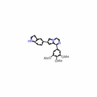 COc1cc(-c2nccn3cc(-c4ccc5[nH]ccc5c4)cc23)cc(OC)c1OC